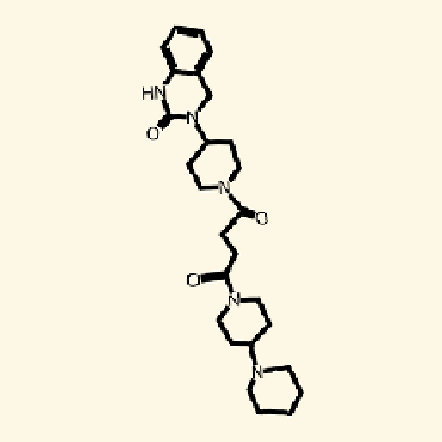 O=C(CCC(=O)N1CCC(N2Cc3ccccc3NC2=O)CC1)N1CCC(N2CCCCC2)CC1